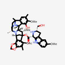 COc1ccc2[nH]c3c(c2c1)C[C@@H](CO)N[C@H]3C(=O)OC12C[C@@H](c3c4c(c(C)c(OC(C)=O)c31)OCO4)N1[C@H]([C@H]3c4c(cc(C)c(OC)c4O)C4(C)C[C@]1(C)CN34)[C@@H]2SC